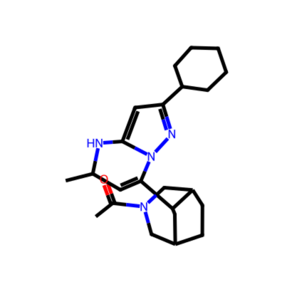 CC(=O)N1CC2CCC(C1)C(C1=CC(C)Nc3cc(C4CCCCC4)nn31)C2